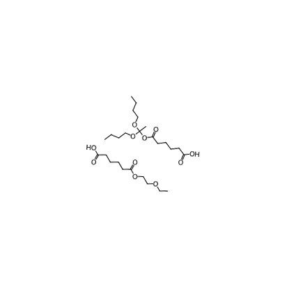 CCCCOC(C)(OCCCC)OC(=O)CCCCC(=O)O.CCOCCOC(=O)CCCCC(=O)O